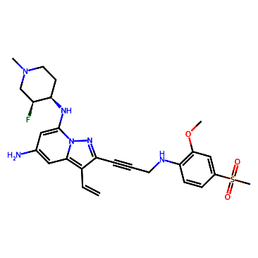 C=Cc1c(C#CCNc2ccc(S(C)(=O)=O)cc2OC)nn2c(N[C@@H]3CCN(C)C[C@@H]3F)cc(N)cc12